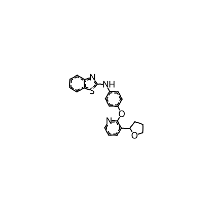 c1cnc(Oc2ccc(Nc3nc4ccccc4s3)cc2)c(C2CCCO2)c1